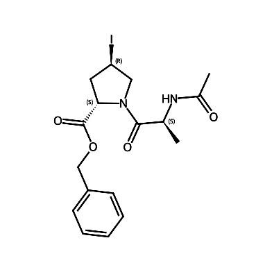 CC(=O)N[C@@H](C)C(=O)N1C[C@H](I)C[C@H]1C(=O)OCc1ccccc1